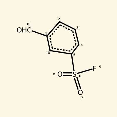 O=[C]c1cccc(S(=O)(=O)F)c1